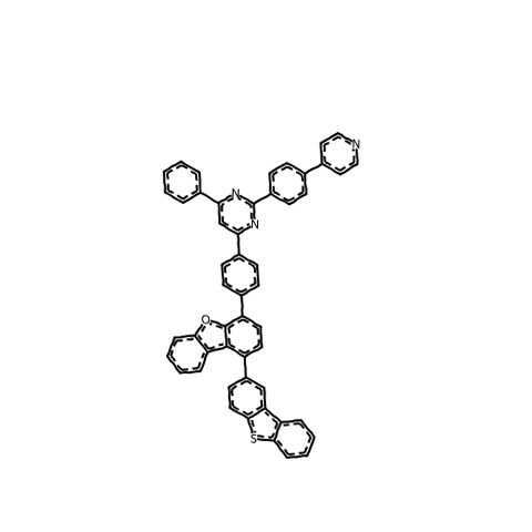 c1ccc(-c2cc(-c3ccc(-c4ccc(-c5ccc6sc7ccccc7c6c5)c5c4oc4ccccc45)cc3)nc(-c3ccc(-c4ccncc4)cc3)n2)cc1